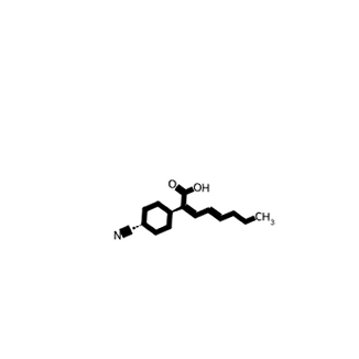 CCCC=CC=C(C(=O)O)[C@H]1CC[C@H](C#N)CC1